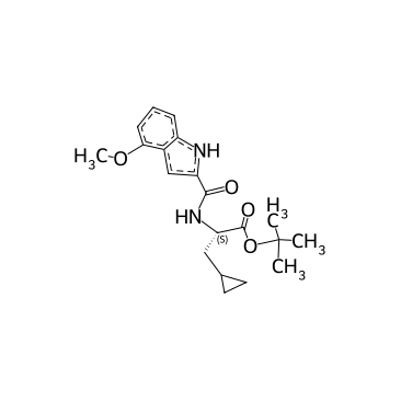 COc1cccc2[nH]c(C(=O)N[C@@H](CC3CC3)C(=O)OC(C)(C)C)cc12